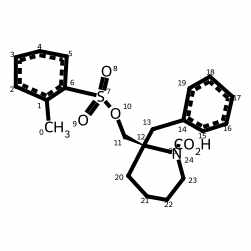 Cc1ccccc1S(=O)(=O)OC[C@]1(Cc2ccccc2)CCCCN1C(=O)O